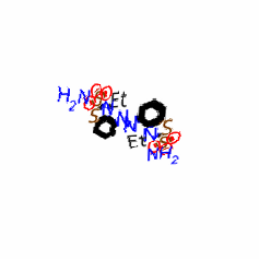 CCN1C2=C(C=CCC2=NN=C2CC=CC3=C2N(CC)C(S(=O)(=O)ON)S3)SC1S(=O)(=O)ON